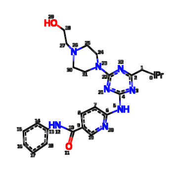 CC(C)Cc1nc(Nc2ccc(C(=O)Nc3ccccc3)cn2)nc(N2CCN(CCO)CC2)n1